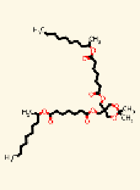 CCCCCCCCC(C)OC(=O)CCCCCC(=O)OCC1(COC(=O)CCCCCC(=O)OC(C)CCCCCCCC)COC(C)(C)OC1